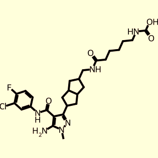 Cn1nc(C2CC3CC(CNC(=O)CCCCCNC(=O)O)CC3C2)c(C(=O)Nc2ccc(F)c(Cl)c2)c1N